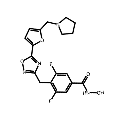 O=C(NO)c1cc(F)c(Cc2noc(-c3ccc(CN4CCCC4)o3)n2)c(F)c1